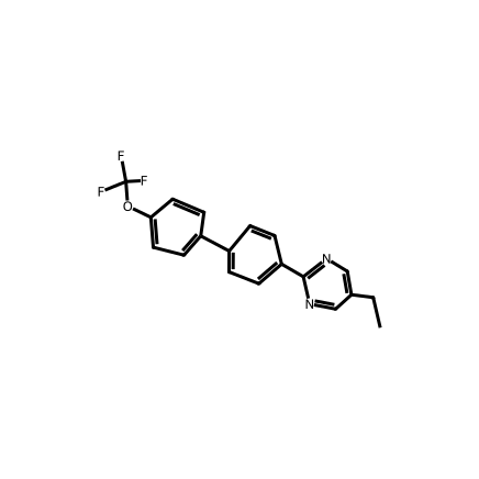 CCc1cnc(-c2ccc(-c3ccc(OC(F)(F)F)cc3)cc2)nc1